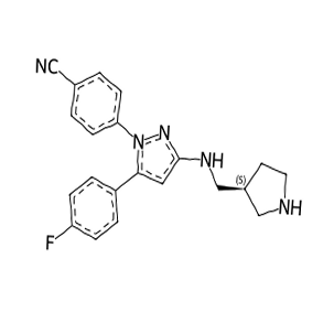 N#Cc1ccc(-n2nc(NC[C@H]3CCNC3)cc2-c2ccc(F)cc2)cc1